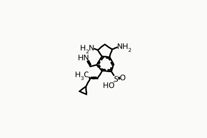 C/C(=C\c1c(S(=O)O)cc2c(c1C=N)C(N)CC2N)C1CC1